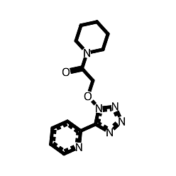 O=C(COn1nnnc1-c1ccccn1)N1CCCCC1